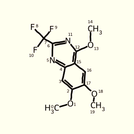 COc1cc2nc(C(F)(F)F)nc(OC)c2cc1OC